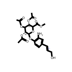 COC(=O)C1OC(Oc2ccc(/C=C/CO)cc2N)[C@H](OC(C)=O)C(OC(C)=O)[C@@H]1OC(C)=O